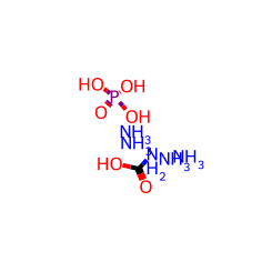 N.N.N.N.NC(=O)O.O=P(O)(O)O